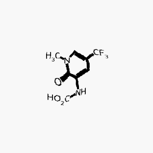 Cn1cc(C(F)(F)F)cc(NC(=O)O)c1=O